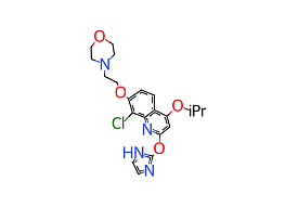 CC(C)Oc1cc(Oc2ncc[nH]2)nc2c(Cl)c(OCCN3CCOCC3)ccc12